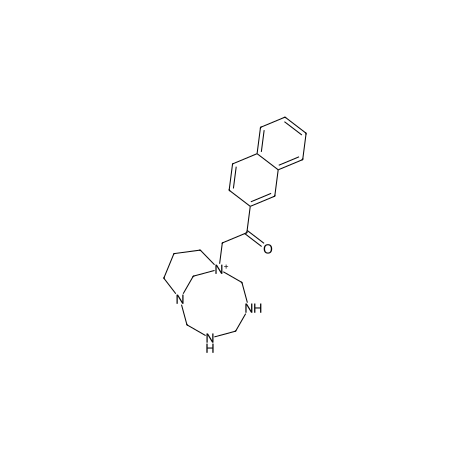 O=C(C[N+]12CCCN(CNCNC1)C2)c1ccc2ccccc2c1